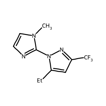 CCc1cc(C(F)(F)F)nn1-c1nccn1C